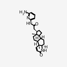 C[C@]12C=CC(=O)N[C@@H]1CC[C@@H]1[C@@H]2CC[C@]2(C)[C@@H](CC(=O)Nc3cccc(N)n3)CC[C@@H]12